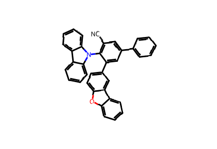 N#Cc1cc(-c2ccccc2)cc(-c2ccc3oc4ccccc4c3c2)c1-n1c2ccccc2c2ccccc21